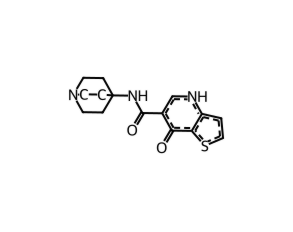 O=C(NC12CCN(CC1)CC2)c1c[nH]c2ccsc2c1=O